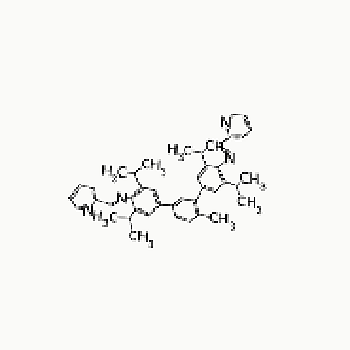 Cc1ccc(-c2cc(C(C)C)c(N=Cc3ccccn3)c(C(C)C)c2)cc1-c1cc(C(C)C)c(N=Cc2ccccn2)c(C(C)C)c1